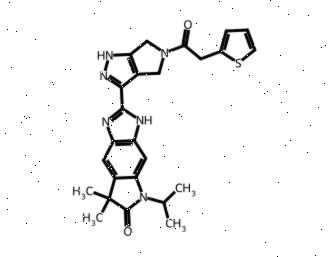 CC(C)N1C(=O)C(C)(C)c2cc3nc(-c4n[nH]c5c4CN(C(=O)Cc4cccs4)C5)[nH]c3cc21